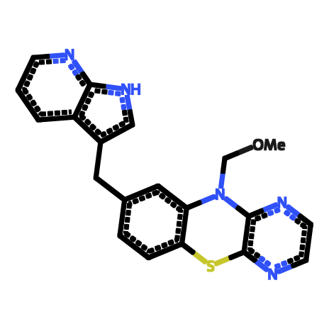 COCN1c2cc(Cc3c[nH]c4ncccc34)ccc2Sc2nccnc21